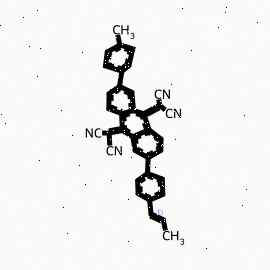 C/C=C/c1ccc(-c2ccc3c(=C(C#N)C#N)c4cc(-c5ccc(C)cc5)ccc4c(=C(C#N)C#N)c3c2)cc1